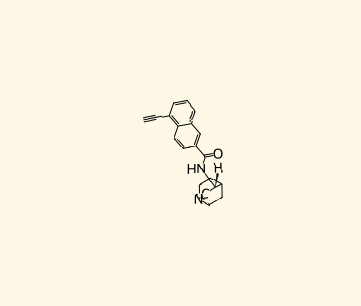 C#Cc1cccc2cc(C(=O)N[C@H]3CN4CCC3CC4)ccc12